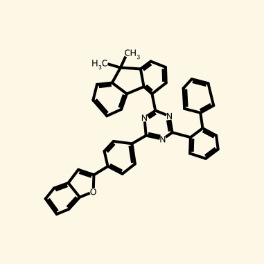 CC1(C)c2ccccc2-c2c(-c3nc(-c4ccc(-c5cc6ccccc6o5)cc4)nc(-c4ccccc4-c4ccccc4)n3)cccc21